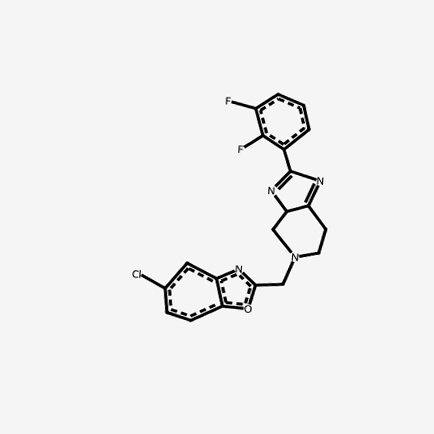 Fc1cccc(C2=NC3CN(Cc4nc5cc(Cl)ccc5o4)CCC3=N2)c1F